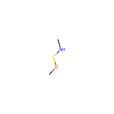 CNSOC